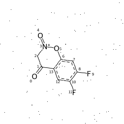 O=C1C[N+](=O)Oc2cc(F)c(F)cc21